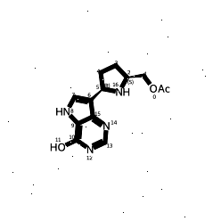 CC(=O)OC[C@@H]1CC[C@H](c2c[nH]c3c(O)ncnc23)N1